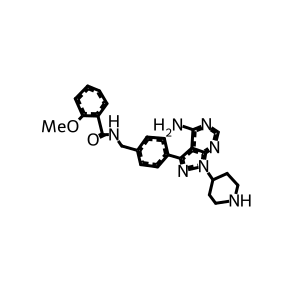 COc1ccccc1C(=O)NCc1ccc(-c2nn(C3CCNCC3)c3ncnc(N)c23)cc1